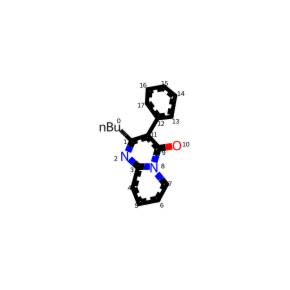 CCCCc1nc2ccccn2c(=O)c1-c1cc[c]cc1